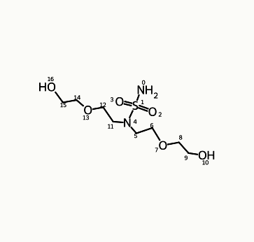 NS(=O)(=O)N(CCOCCO)CCOCCO